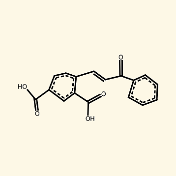 O=C(O)c1ccc(C=CC(=O)c2ccccc2)c(C(=O)O)c1